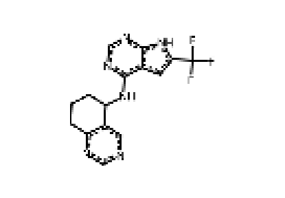 FC(F)(F)c1cc2c(NC3CCCc4ncncc43)ncnc2[nH]1